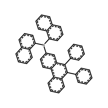 c1ccc(-c2c(-c3ccccc3)c3cc(N(c4cccc5ccccc45)c4cccc5ccccc45)ccc3c3ccccc23)cc1